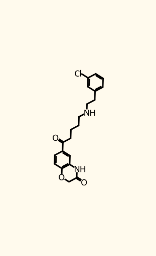 O=C1COc2ccc(C(=O)CCCCNCCc3cccc(Cl)c3)cc2N1